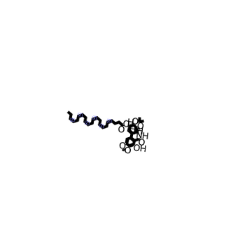 CC/C=C\C/C=C\C/C=C\C/C=C\C/C=C\C/C=C\CCC(=O)O[C@H]1C=C2c3cc4c(c(O)c3C(=O)N[C@H]2[C@@H]2OC(C)(C)O[C@@H]21)OCO4